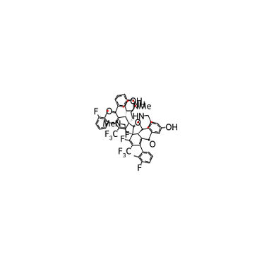 CNCC[C@]1(C(=O)[C@@]2(CCNC)C(F)=C(C(F)(F)F)C(c3cccc(F)c3C)=C(C(=O)c3cccc(O)c3)[C@@H]2C2CCCNC2)C(F)=C(C(F)(F)F)C(c2cccc(F)c2C)=C(C(=O)c2cccc(O)c2)[C@@H]1C1CCCNC1